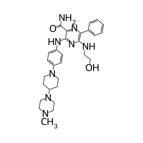 CN1CCN(C2CCN(c3ccc(Nc4nc(NCCO)c(-c5ccccc5)nc4C(N)=O)cc3)CC2)CC1